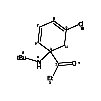 CCC(=O)C1(NC(C)(C)C)C=CC=C(Cl)C1